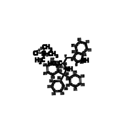 C[Si](C)(C)Cl.O=C(O)C(Cc1c[nH]c2ccccc12)NC(c1ccccc1)(c1ccccc1)c1ccccc1